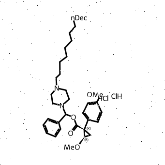 CCCCCCCCCCCCCCCCCCN1CCN(C(OC(=O)[C@@]2(c3ccc(OC)cc3)C[C@H]2OC)c2ccccc2)CC1.Cl.Cl